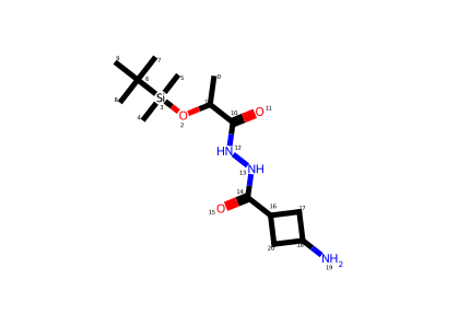 CC(O[Si](C)(C)C(C)(C)C)C(=O)NNC(=O)C1CC(N)C1